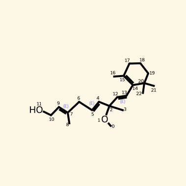 COC(C)(/C=C/C/C(C)=C/CO)/C=C/C1=C(C)CCCC1(C)C